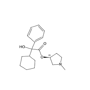 CN1CC[C@H](OC(=O)C(O)(c2ccccc2)C2CCCCC2)C1